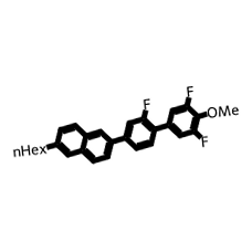 CCCCCCc1ccc2cc(-c3ccc(-c4cc(F)c(OC)c(F)c4)c(F)c3)ccc2c1